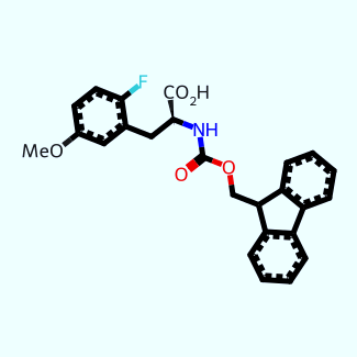 COc1ccc(F)c(C[C@H](NC(=O)OCC2c3ccccc3-c3ccccc32)C(=O)O)c1